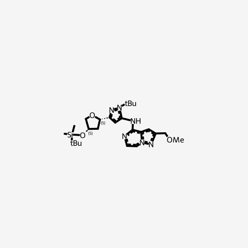 COCc1cc2c(Nc3cc([C@@H]4C[C@H](O[Si](C)(C)C(C)(C)C)CO4)nn3C(C)(C)C)nccn2n1